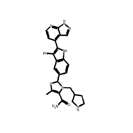 CC1=C(C(N)=O)N(CC2CCNC2)C(c2ccc3[nH]c(-c4ccnc5[nH]ncc45)c(C(C)C)c3c2)O1